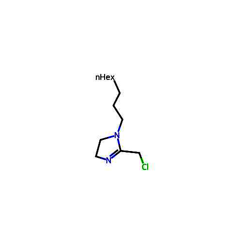 CCCCCCCCCN1CCN=C1CCl